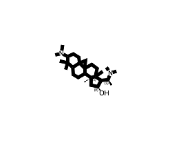 C[C@@H](C1[C@H](O)C[C@@]2(C)C3CCC4C(C)(C)C(N(C)C)CCC45CC35CCC12C)N(C)C